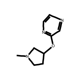 CN1CCC(Oc2cnccn2)C1